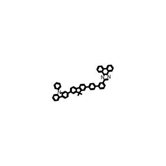 CC1(C)c2cc(-c3ccc(-c4cccc(-c5cnc6c7ccccc7c7ccccc7c6n5)c4)cc3)ccc2-c2ccc(-c3ccc4c5ccccc5n(-c5ccccc5)c4c3)cc21